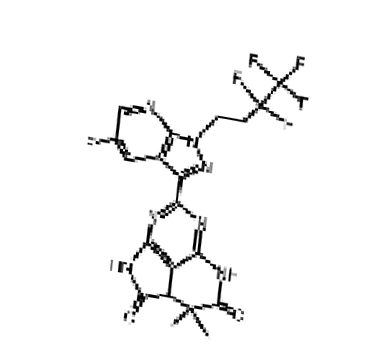 CC1(C)C(=O)Nc2nc(-c3nn(CCC(F)(F)C(F)(F)F)c4ncc(F)cc34)nc3c2C1C(=O)N3